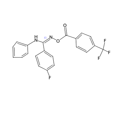 O=C(O/N=C(/Nc1ccccc1)c1ccc(F)cc1)c1ccc(C(F)(F)F)cc1